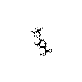 CPC(F)(F)COc1ncc(C(=O)O)cc1C